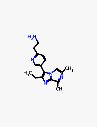 CCc1nc2c(C)nc(C)cn2c1-c1ccc(CCN)nc1